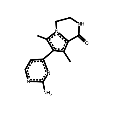 Cc1c(-c2ccnc(N)n2)c(C)n2c1C(=O)NCC2